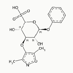 Cc1noc(C)c1O[C@@H]1[C@@H](O)[C@H](Oc2ccccc2)OC(S(=O)(=O)O)[C@H]1O